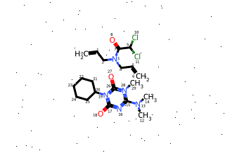 C=CCN(CC=C)C(=O)C(Cl)Cl.CN(C)c1nc(=O)n(C2CCCCC2)c(=O)n1C